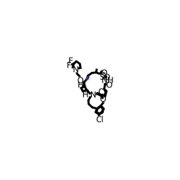 CC1C/C=C/C(OCCN2CCCC(F)(F)C2)[C@@H]2CC[C@H]2CN2CCCCc3cc(Cl)ccc3COc3ccc(cc32)C(=O)NS(=O)(=O)C1C